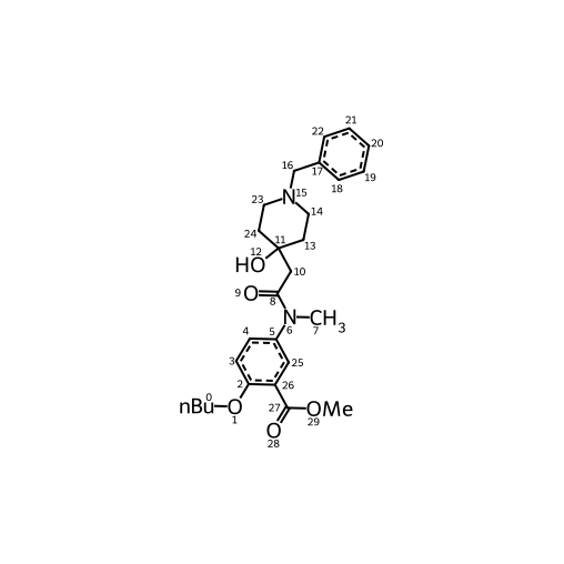 CCCCOc1ccc(N(C)C(=O)CC2(O)CCN(Cc3ccccc3)CC2)cc1C(=O)OC